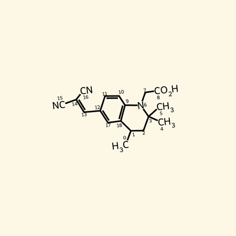 CC1CC(C)(C)N(CC(=O)O)c2ccc(C=C(C#N)C#N)cc21